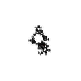 CC(C)(C)[Si](C)(C)O[C@H]1[C@H]2OP(=O)(O)OCc3nc4cncnc4n3CCCOP(=O)(O)OC[C@H]1O[C@H]2n1cnc2c(=O)[nH]c(N)nc21